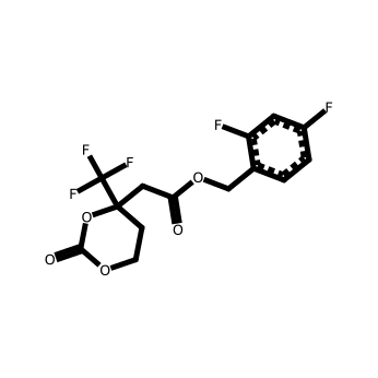 O=C(CC1(C(F)(F)F)CCOC(=O)O1)OCc1ccc(F)cc1F